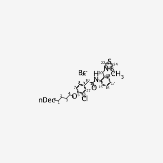 CCCCCCCCCCCCCCOc1ccc(CC(=O)Nc2ccccc2C[n+]2cscc2C)cc1Cl.[Br-]